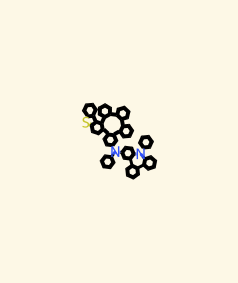 c1ccc(N(c2ccc3c(c2)-c2ccccc2-c2ccccc2N3c2ccccc2)c2ccc3c(c2)c2ccccc2c2ccccc2c2ccccc2c2c3ccc3sc4ccccc4c32)cc1